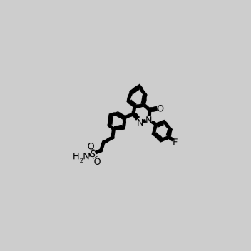 NS(=O)(=O)CCCc1cccc(-c2nn(-c3ccc(F)cc3)c(=O)c3ccccc23)c1